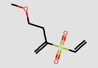 C=CS(=O)(=O)C(=C)CCOC